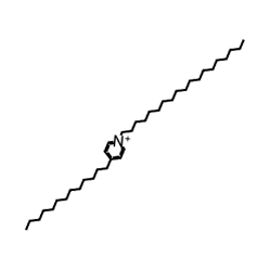 CCCCCCCCCCCCCCCCCCC[n+]1ccc(CCCCCCCCCCCCC)cc1